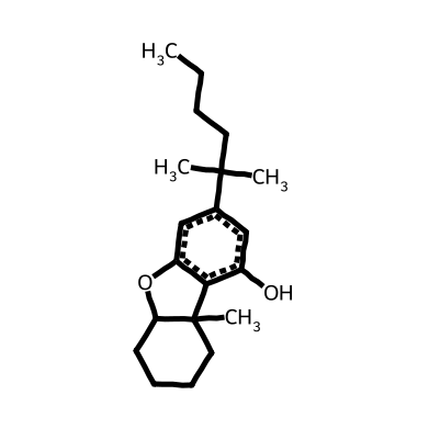 CCCCC(C)(C)c1cc(O)c2c(c1)OC1CCCCC21C